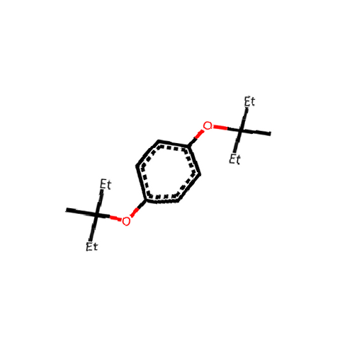 CCC(C)(CC)Oc1ccc(OC(C)(CC)CC)cc1